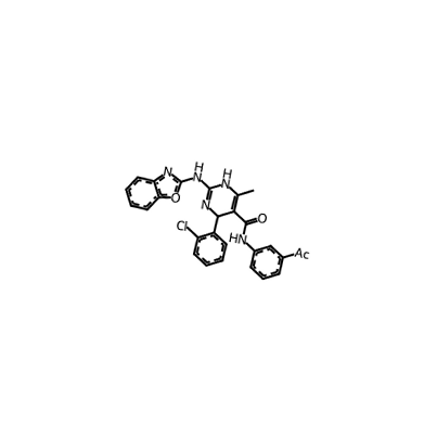 CC(=O)c1cccc(NC(=O)C2=C(C)NC(Nc3nc4ccccc4o3)=NC2c2ccccc2Cl)c1